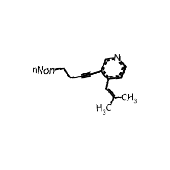 CCCCCCCCCCCC#Cc1cnccc1C=C(C)C